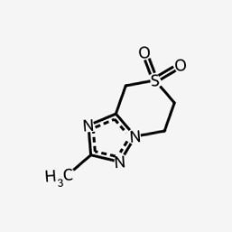 Cc1nc2n(n1)CCS(=O)(=O)C2